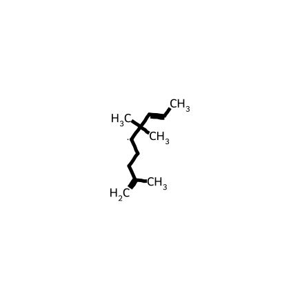 C=C(C)CC[CH]C(C)(C)C=CC